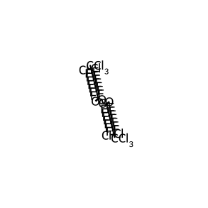 O=C(OOC(=O)C(F)(F)C(F)(F)C(F)(F)C(F)(F)C(F)(F)C(F)(F)C(F)(F)C(Cl)(Cl)C(Cl)(Cl)Cl)C(F)(F)C(F)(F)C(F)(F)C(F)(F)C(F)(F)C(F)(F)C(F)(F)C(Cl)(Cl)C(Cl)(Cl)Cl